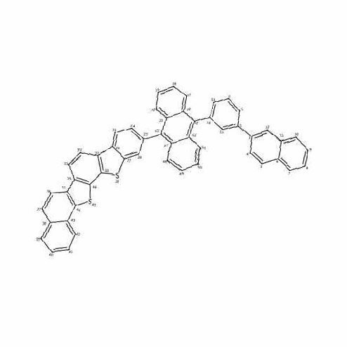 c1cc(-c2ccc3ccccc3c2)cc(-c2c3ccccc3c(-c3ccc4c(c3)sc3c4ccc4c5ccc6ccccc6c5sc43)c3ccccc23)c1